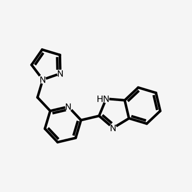 c1cc(Cn2cccn2)nc(-c2nc3ccccc3[nH]2)c1